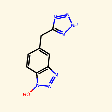 On1nnc2cc(Cc3nn[nH]n3)ccc21